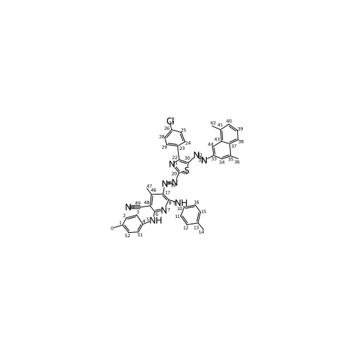 Cc1ccc(Nc2nc(Nc3ccc(C)cc3)c(N=Nc3nc(-c4ccc(Cl)cc4)c(N=Nc4cc(C)c5cccc(C)c5c4)s3)c(C)c2C#N)cc1